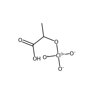 CC(O[Cl+3]([O-])([O-])[O-])C(=O)O